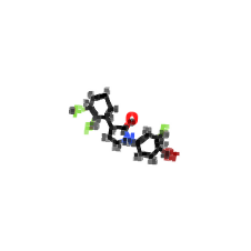 O=C1C(c2cccc(F)c2F)CCN1c1ccc(Br)c(F)c1